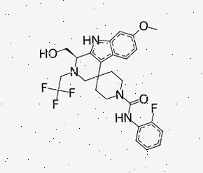 COc1ccc2c3c([nH]c2c1)[C@H](CO)N(CC(F)(F)F)CC31CCN(C(=O)Nc2ccccc2F)CC1